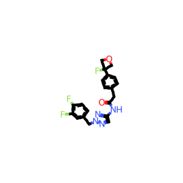 O=C(Cc1ccc(C2(F)COC2)cc1)Nc1cnn(Cc2ccc(F)c(F)c2)n1